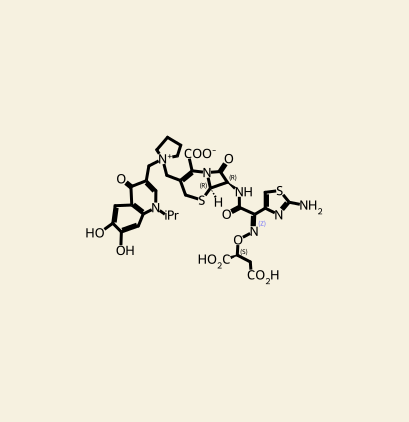 CC(C)n1cc(C[N+]2(CC3=C(C(=O)[O-])N4C(=O)[C@@H](NC(=O)/C(=N\O[C@@H](CC(=O)O)C(=O)O)c5csc(N)n5)[C@H]4SC3)CCCC2)c(=O)c2cc(O)c(O)cc21